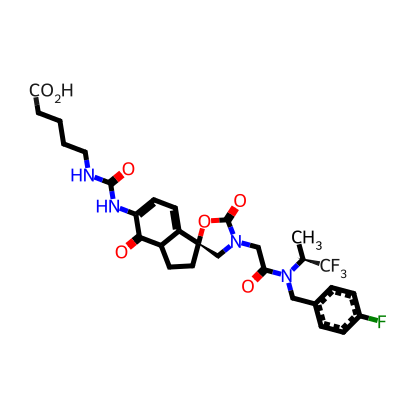 C[C@H](N(Cc1ccc(F)cc1)C(=O)CN1C[C@]2(CCC3C(=O)C(NC(=O)NCCCCC(=O)O)=CC=C32)OC1=O)C(F)(F)F